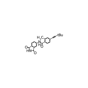 Cc1cc(C#CC(C)(C)C)ccc1C(=O)Nc1ccc2c(c1)C(=O)NC2=O